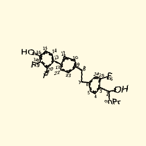 CCCC(O)c1ccc(CCc2ccc(-c3ccc(O)c(F)c3F)cc2)cc1F